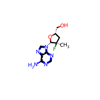 C[C@@]1(F)C[C@@H](CO)O[C@H]1n1cnc2c(N)ncnc21